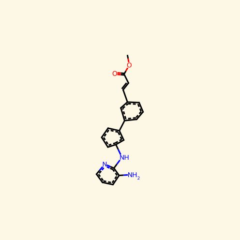 COC(=O)C=Cc1cccc(-c2cccc(Nc3ncccc3N)c2)c1